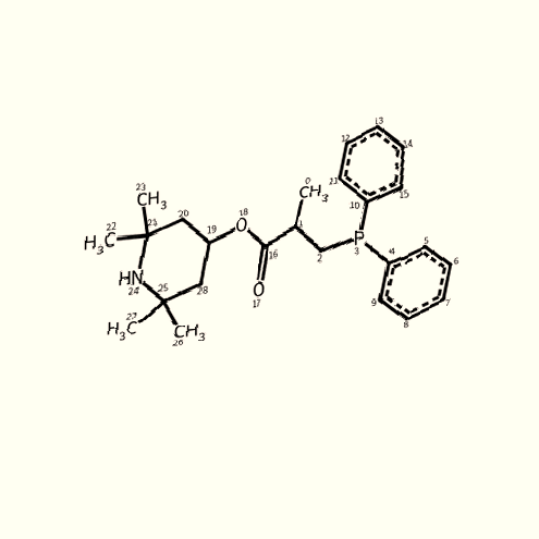 CC(CP(c1ccccc1)c1ccccc1)C(=O)OC1CC(C)(C)NC(C)(C)C1